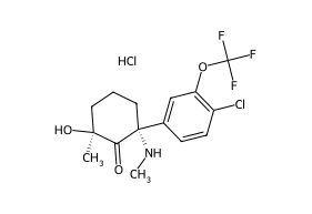 CN[C@@]1(c2ccc(Cl)c(OC(F)(F)F)c2)CCC[C@](C)(O)C1=O.Cl